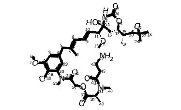 COc1cc(C/C(C)=C/C=C/[C@@H](OC)[C@@]2(O)C[C@@H]([C@@H](C)[C@@H]3OC3(C)C)OC(=O)N2)cc(N(C)C(=O)COC(=O)[C@H](C)N(C)C(=O)CCN)c1Cl